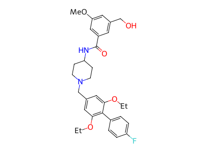 CCOc1cc(CN2CCC(NC(=O)c3cc(CO)cc(OC)c3)CC2)cc(OCC)c1-c1ccc(F)cc1